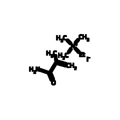 C=C(C)C(N)=O.CC[N+](C)(C)C.[I-]